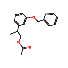 CC(=O)OCC(C)c1cccc(OCc2ccccc2)c1